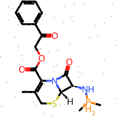 CC1=C(C(=O)OCC(=O)c2ccccc2)N2C(=O)[C@@H](N[PH2](C)C)[C@@H]2SC1